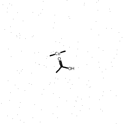 CC(=O)O.[CH3][Co][CH3]